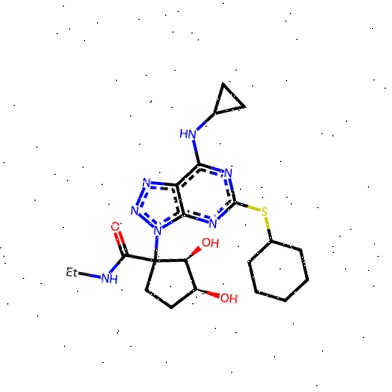 CCNC(=O)C1(n2nnc3c(NC4CC4)nc(SC4CCCCC4)nc32)CC[C@H](O)[C@@H]1O